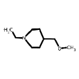 [CH2]CN1CCC(COC)CC1